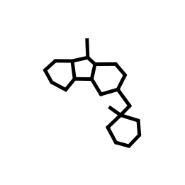 CC1C2CCCCC2C2CC(CC3(C)CCCCC3)CCC12